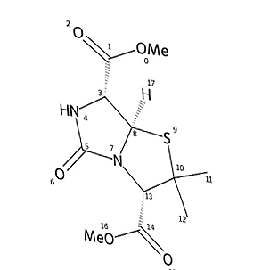 COC(=O)[C@H]1NC(=O)N2[C@@H]1SC(C)(C)[C@@H]2C(=O)OC